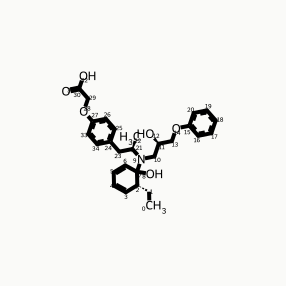 CC[C@@H]1C=CC=CC1(O)N(C[C@@H](O)COc1ccccc1)[C@H](C)Cc1ccc(OCC(=O)O)cc1